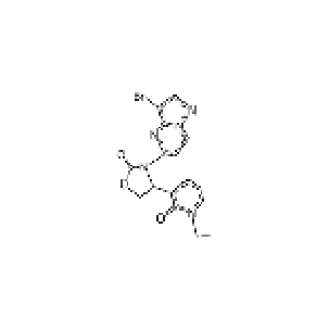 CCn1cccc(C2COC(=O)N2c2ccn3ncc(Br)c3n2)c1=O